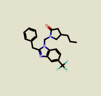 CCCC1CC(=O)N(Cn2c(Cc3ccccc3)nc3cc(C(F)(F)F)ccc32)C1